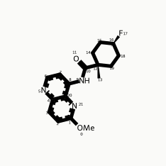 COc1ccc2nccc(NC(=O)[C@]3(C)CC[C@@H](F)CC3)c2n1